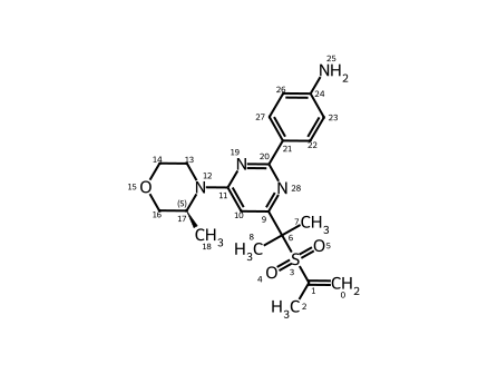 C=C(C)S(=O)(=O)C(C)(C)c1cc(N2CCOC[C@@H]2C)nc(-c2ccc(N)cc2)n1